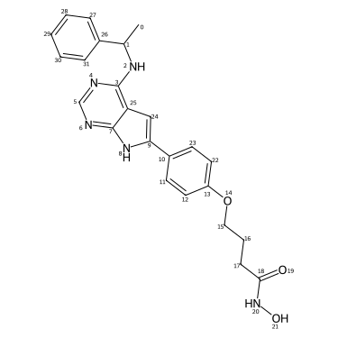 CC(Nc1ncnc2[nH]c(-c3ccc(OCCCC(=O)NO)cc3)cc12)c1ccccc1